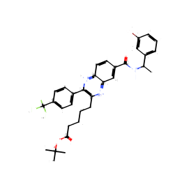 CC(NC(=O)c1ccc2nc(-c3ccc(C(F)(F)F)cc3)c(CCCCC(=O)OC(C)(C)C)nc2c1)c1cccc(Br)c1